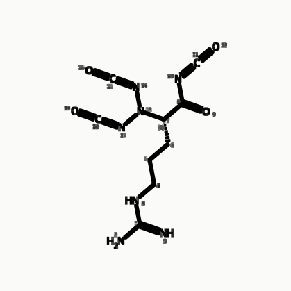 N=C(N)NCCC[C@@H](C(=O)N=C=O)N(N=C=O)N=C=O